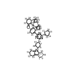 C1=Cc2c(n(-c3ccc(-c4nc(-c5ccccc5)nc(-c5ccc6c(c5)C5(c7ccccc7O6)c6ccccc6-c6ccccc65)n4)cc3)c3ccccc23)CC1